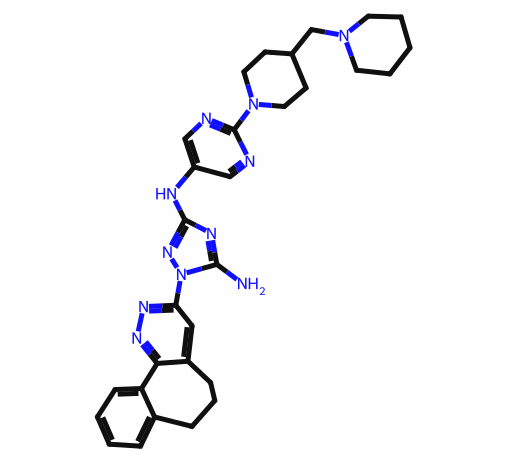 Nc1nc(Nc2cnc(N3CCC(CN4CCCCC4)CC3)nc2)nn1-c1cc2c(nn1)-c1ccccc1CCC2